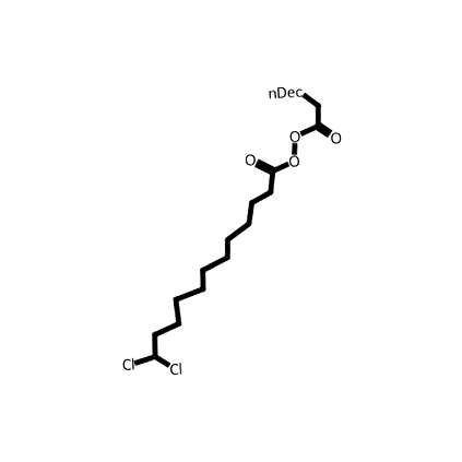 CCCCCCCCCCCC(=O)OOC(=O)CCCCCCCCCCC(Cl)Cl